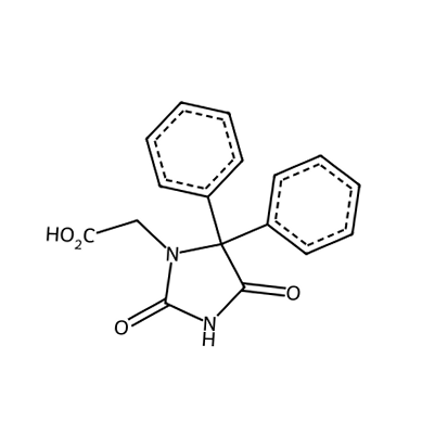 O=C(O)CN1C(=O)NC(=O)C1(c1ccccc1)c1ccccc1